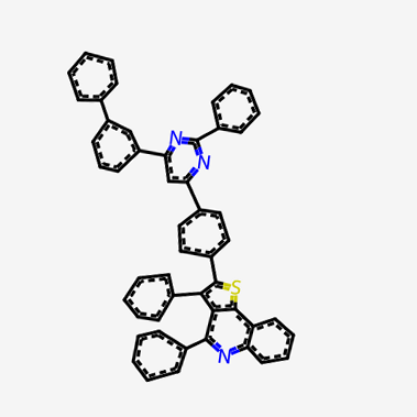 c1ccc(-c2cccc(-c3cc(-c4ccc(-c5sc6c(c(-c7ccccc7)nc7ccccc76)c5-c5ccccc5)cc4)nc(-c4ccccc4)n3)c2)cc1